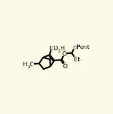 CCCCCC(CC)OC(=O)C1=C(C(=O)O)C2CC1CC2C